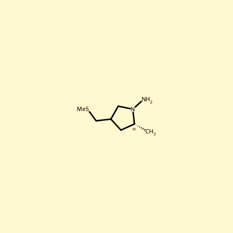 CSCC1C[C@@H](C)N(N)C1